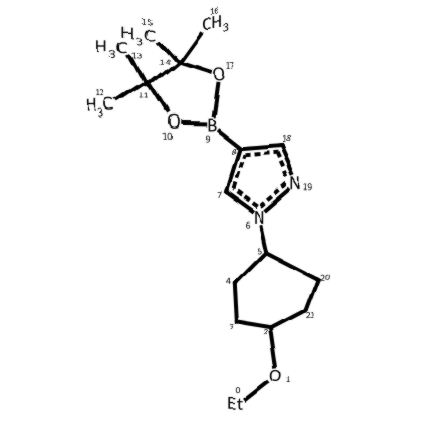 CCOC1CCC(n2cc(B3OC(C)(C)C(C)(C)O3)cn2)CC1